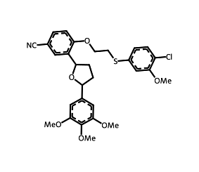 COc1cc(SCCOc2ccc(C#N)cc2C2CCC(c3cc(OC)c(OC)c(OC)c3)O2)ccc1Cl